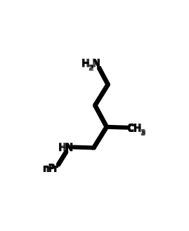 CCCNCC(C)CCN